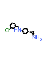 N[C@H]1C[C@@H]1c1ccc(NCc2cccc(Cl)c2)cc1